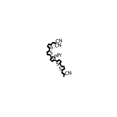 CCCn1c(-c2ccc(-c3ccc(C=C(C#N)C#N)s3)s2)ccc1-c1ccc(-c2ccc(/C=C(/C)C#N)s2)s1